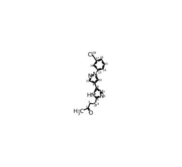 CC(=O)CSc1nnc(-c2cnn(-c3cccc(Cl)c3)c2)[nH]1